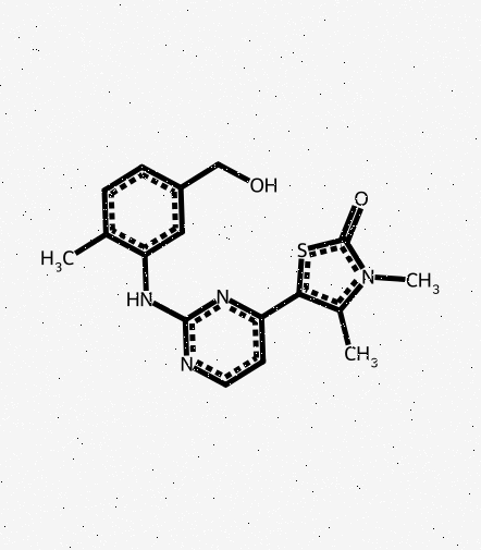 Cc1ccc(CO)cc1Nc1nccc(-c2sc(=O)n(C)c2C)n1